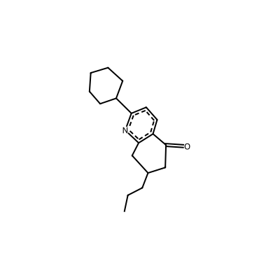 CCCC1CC(=O)c2ccc(C3CCCCC3)nc2C1